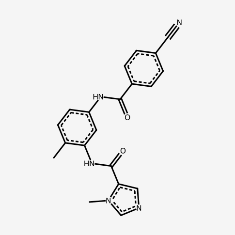 Cc1ccc(NC(=O)c2ccc(C#N)cc2)cc1NC(=O)c1cncn1C